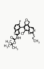 CCSc1ncc2c3c(c(-c4c(F)ccc5sc(NC(=O)OC(C)(C)C)cc45)c(Cl)c2n1)COC3